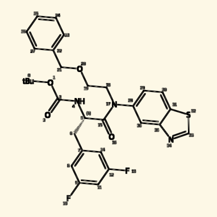 CC(C)(C)OC(=O)N[C@@H](Cc1cc(F)cc(F)c1)C(=O)N(CCOCc1ccccc1)c1ccc2scnc2c1